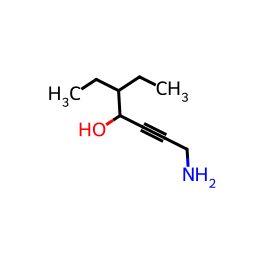 CCC(CC)C(O)C#CCN